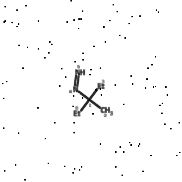 CCC(C)(CC)N=N